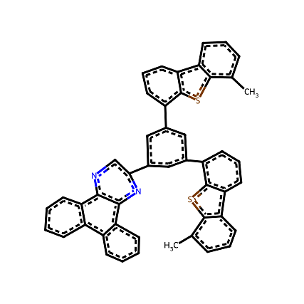 Cc1cccc2c1sc1c(-c3cc(-c4cnc5c6ccccc6c6ccccc6c5n4)cc(-c4cccc5c4sc4c(C)cccc45)c3)cccc12